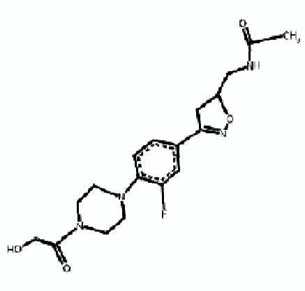 CC(=O)NCC1CC(c2ccc(N3CCN(C(=O)CO)CC3)c(F)c2)=NO1